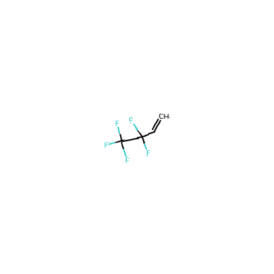 [CH]=CC(F)(F)C(F)(F)F